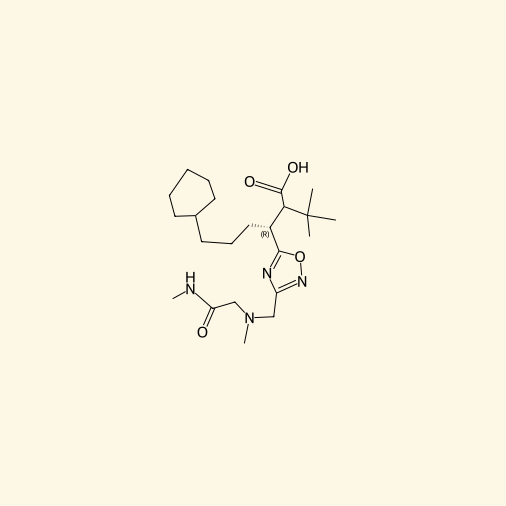 CNC(=O)CN(C)Cc1noc([C@H](CCCC2CCCCC2)C(C(=O)O)C(C)(C)C)n1